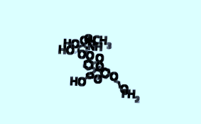 CC(=O)N[C@H]1[C@H](Oc2cccc3c2C(=O)OC32c3ccc(O)cc3Oc3cc(OCCCOP)ccc32)O[C@H](CO)[C@@H](O)[C@@H]1O